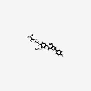 CCN(CC)C(=O)NCCOc1ccc(-n2cnc3cc(-c4ccc(Cl)cc4)sc3c2=O)cc1OC